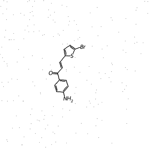 Nc1ccc(C(=O)C=Cc2ccc(Br)s2)cc1